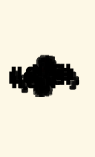 Cc1c(C)c(C#N)c(-c2cc3c4cc5c(cc4c(-c4c(C#N)c(C)c(C)c(C)c4C#N)cc3c3cc4c(cc23)-c2cccc3cccc-4c23)-c2cccc3cccc-5c23)c(C#N)c1C